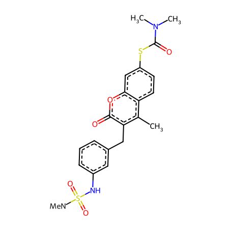 CNS(=O)(=O)Nc1cccc(Cc2c(C)c3ccc(SC(=O)N(C)C)cc3oc2=O)c1